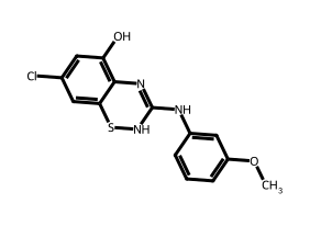 COc1cccc(NC2=Nc3c(O)cc(Cl)cc3SN2)c1